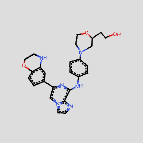 OCCC1CN(c2ccc(Nc3nc(-c4ccc5c(c4)NCCO5)cn4ccnc34)cc2)CCO1